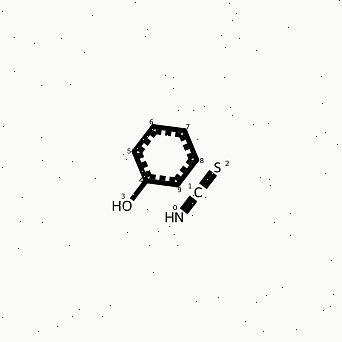 N=C=S.Oc1ccccc1